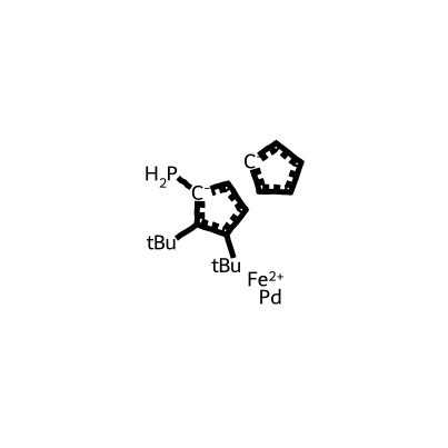 CC(C)(C)c1cc[c-](P)c1C(C)(C)C.[Fe+2].[Pd].c1cc[cH-]c1